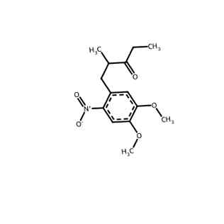 CCC(=O)C(C)Cc1cc(OC)c(OC)cc1[N+](=O)[O-]